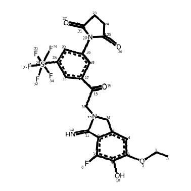 CCOc1cc2c(c(F)c1O)C(=N)N(CC(=O)c1cc(N3C(=O)CCC3=O)cc(S(F)(F)(F)(F)F)c1)C2